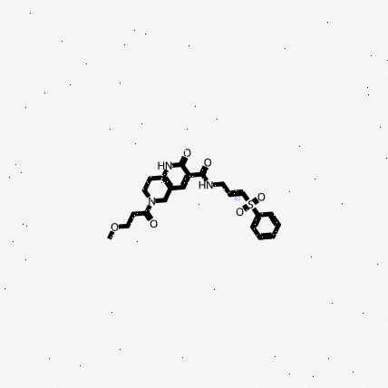 COCCC(=O)N1CCc2[nH]c(=O)c(C(=O)NC/C=C/S(=O)(=O)c3ccccc3)cc2C1